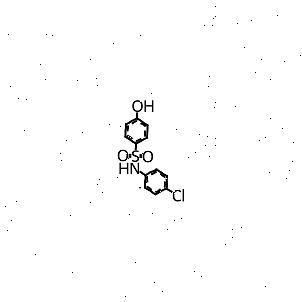 O=S(=O)(Nc1[c]cc(Cl)cc1)c1ccc(O)cc1